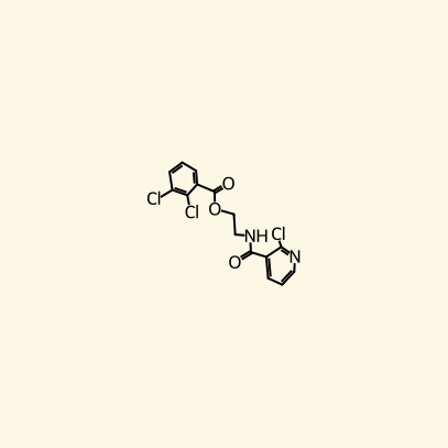 O=C(NCCOC(=O)c1cccc(Cl)c1Cl)c1cccnc1Cl